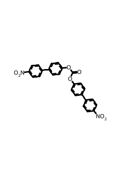 O=C(Oc1ccc(-c2ccc([N+](=O)[O-])cc2)cc1)Oc1ccc(-c2ccc([N+](=O)[O-])cc2)cc1